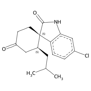 CC(C)C[C@H]1CC(=O)CC[C@]12C(=O)Nc1cc(Cl)ccc12